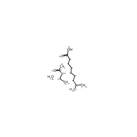 CC(C)CCCCCCC(=O)O.CCOC(C)=O.O